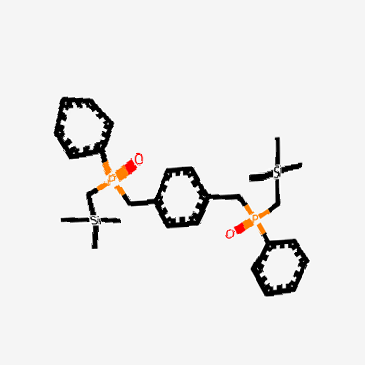 C[Si](C)(C)CP(=O)(Cc1ccc(CP(=O)(C[Si](C)(C)C)c2ccccc2)cc1)c1ccccc1